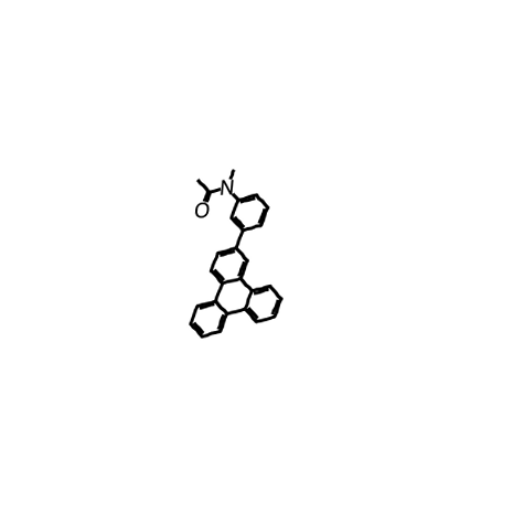 CC(=O)N(C)c1cccc(-c2ccc3c4ccccc4c4ccccc4c3c2)c1